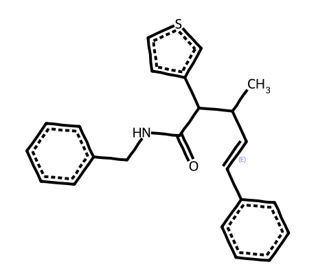 CC(/C=C/c1ccccc1)C(C(=O)NCc1ccccc1)c1ccsc1